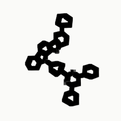 C1=Cc2c(n(-c3ccc(-c4nc(-c5ccccc5)cc(-c5ccccc5)n4)cc3)c3c2ccc2c4cc(-c5ccccc5)ccc4sc23)CC1